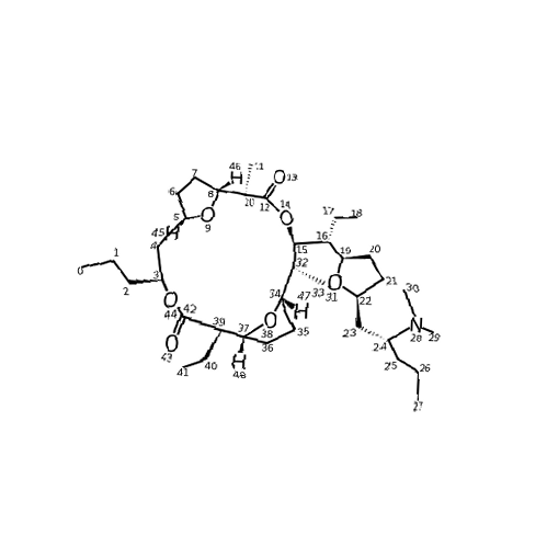 CCC[C@H]1C[C@@H]2CC[C@@H](O2)[C@H](C)C(=O)O[C@@H]([C@H](CC)[C@H]2CC[C@@H](C[C@@H](CCC)N(C)C)O2)[C@H](C)[C@@H]2CC[C@@H](O2)[C@@H](CC)C(=O)O1